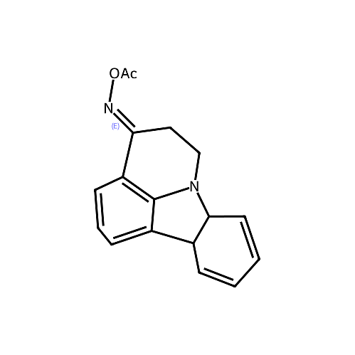 CC(=O)O/N=C1\CCN2c3c1cccc3C1C=CC=CC12